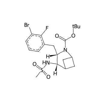 CC(C)(C)OC(=O)N1C2CC(C2)[C@H](NS(C)(=O)=O)[C@@H]1Cc1cccc(Br)c1F